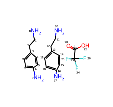 NCCc1ccc(N)cc1.NCCc1ccc(N)cc1.O=C(O)C(F)(F)F